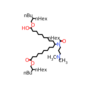 CCCCCCC(=O)N(CCCN(C)C)C(CCCCCCCCC(=O)OCC(CCCC)CCCCCC)CCCCCCCCC(O)OCC(CCCC)CCCCCC